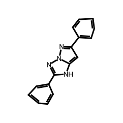 c1ccc(-c2cc3[nH]c(-c4ccccc4)nn3n2)cc1